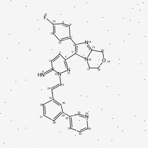 N=c1ccc(-c2c(-c3ccc(F)cc3)nc3n2CCOC3)nn1/C=C/c1cccc(-c2cccnc2)c1